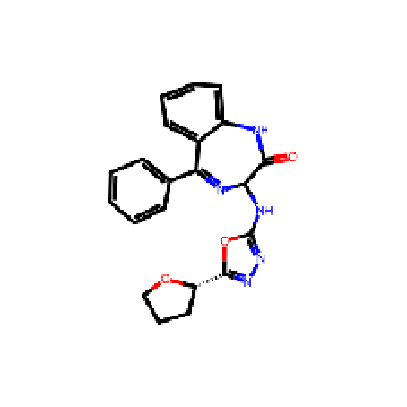 O=C1Nc2ccccc2C(c2ccccc2)=NC1Nc1nnc([C@@H]2CCCO2)o1